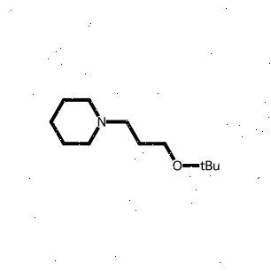 CC(C)(C)OCCCN1CCCCC1